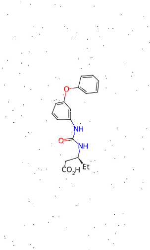 CC[C@@H](CC(=O)O)NC(=O)Nc1cccc(Oc2ccccc2)c1